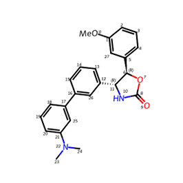 COc1cccc([C@H]2OC(=O)N[C@@H]2c2cccc(-c3cccc(N(C)C)c3)c2)c1